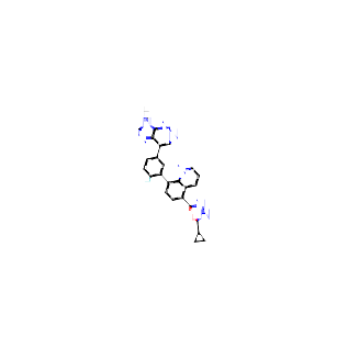 CCn1cnc2c(-c3ccc(F)c(-c4ccc(-c5nnc(C6CC6)o5)c5cccnc45)c3)cnnc21